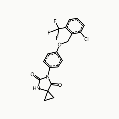 O=C1NC2(CC2)C(=O)N1c1ccc(OCc2c(Cl)cccc2C(F)(F)F)cc1